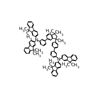 CC1(C)CC(C)(c2ccc(-c3cccc(N(c4ccc5c(c4)C(C)(C)c4ccccc4-5)c4ccc5c(c4)C(C)(C)c4ccccc4-5)c3)cc2)c2cc(-c3cccc(N(c4ccc5c(c4)C(C)(C)c4ccccc4-5)c4ccc5c(c4)C(C)(C)c4ccccc4-5)c3)ccc21